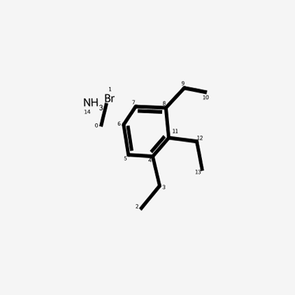 CBr.CCc1cccc(CC)c1CC.N